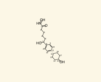 O=C(CCCCC(O)c1ccc([C@H]2CC[C@H](O)CC2)cc1)NO